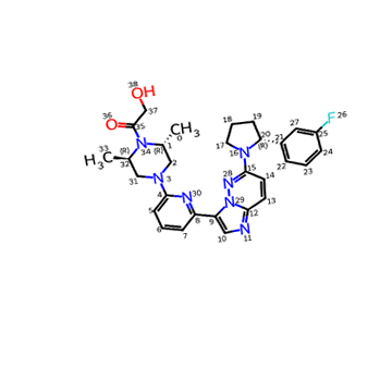 C[C@@H]1CN(c2cccc(-c3cnc4ccc(N5CCC[C@@H]5c5cccc(F)c5)nn34)n2)C[C@@H](C)N1C(=O)CO